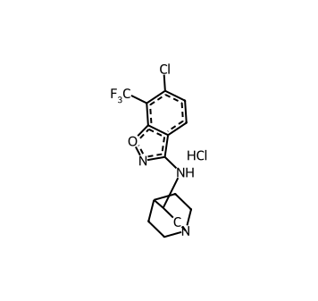 Cl.FC(F)(F)c1c(Cl)ccc2c(NC3CN4CCC3CC4)noc12